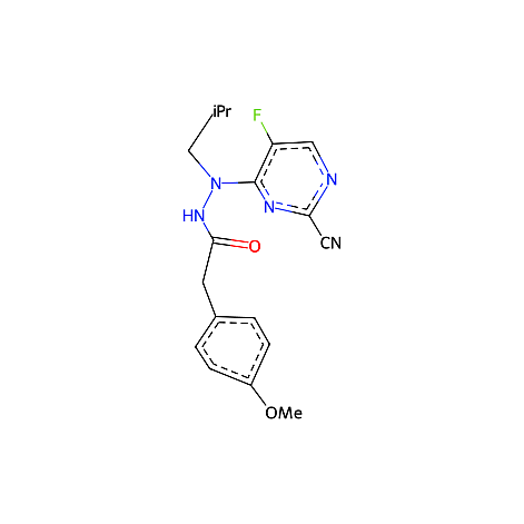 COc1ccc(CC(=O)NN(CC(C)C)c2nc(C#N)ncc2F)cc1